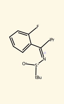 CC(C)/C(=N/[S+]([O-])C(C)(C)C)c1ccccc1F